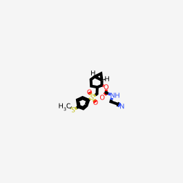 CSc1ccc(S(=O)(=O)CC2CC[C@@H]3C[C@H]3C2OC(=O)NCC#N)cc1